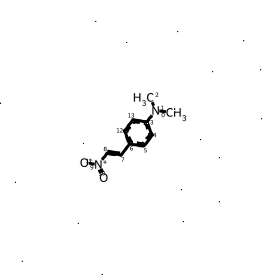 CN(C)c1ccc(C=C[N+](=O)[O-])cc1